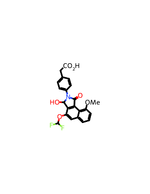 COc1cccc2cc(OC(F)F)c3c(c12)C(=O)N(c1ccc(CC(=O)O)cc1)C3O